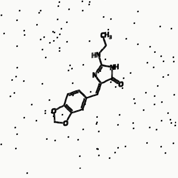 CCNC1=N/C(=C\c2ccc3c(c2)OCO3)C(=O)N1